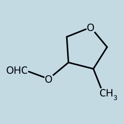 CC1COCC1OC=O